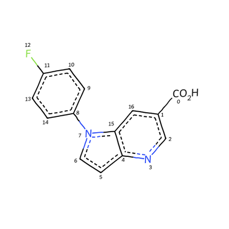 O=C(O)c1cnc2ccn(-c3ccc(F)cc3)c2c1